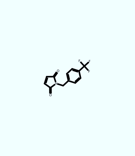 O=C1C=CC(=O)N1Cc1ccc(C(F)(F)F)cc1